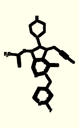 CC#CCN1c2c(cnn(Cc3ccnc(F)c3)c2=O)N(OC(=O)C(F)(F)F)C1N1CCNCC1